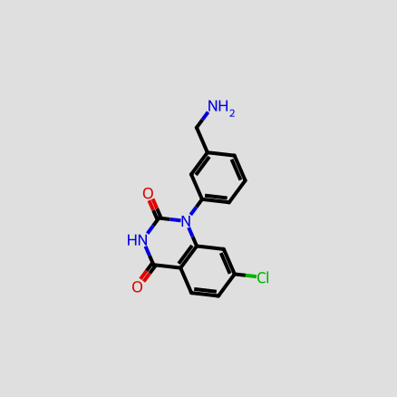 NCc1cccc(-n2c(=O)[nH]c(=O)c3ccc(Cl)cc32)c1